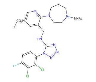 CC(=O)NN1CCCN(c2ncccc2CNc2nnnn2-c2ccc(F)c(Cl)c2Cl)CC1.CC(=O)O